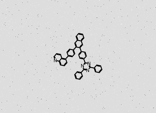 c1ccc(-c2nc(-c3ccccc3)nc(-c3ccc(-c4cc5ccccc5cc4-c4ccc(-c5cccc6ncccc56)cc4)cc3)n2)cc1